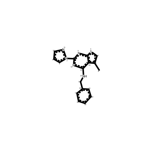 Cc1csc2nc(-n3cccn3)nc(NCc3ccccc3)c12